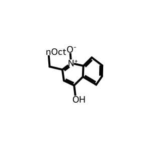 CCCCCCCCCc1cc(O)c2ccccc2[n+]1[O-]